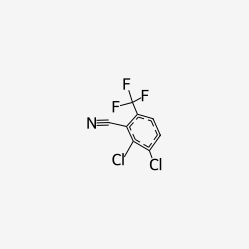 N#Cc1c(C(F)(F)F)ccc(Cl)c1Cl